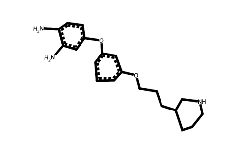 Nc1ccc(Oc2cccc(OCCCC3CCCNC3)c2)cc1N